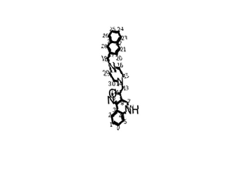 c1ccc2c(c1)NCC1C2=NOC1CN1CCN(Cc2ccc3ccccc3c2)CC1